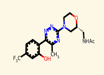 CC(=O)NC[C@@H]1CN(c2nnc(-c3ccc(C(F)(F)F)cc3O)c(C)n2)CCO1